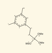 CO[Si](CCc1cc(C)cc(C)c1)(OC)OC